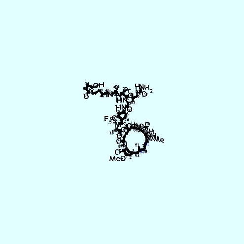 COc1cc2cc(c1Cl)N(C)C(=O)C[C@H](OC(=O)[C@H](C)N(C)C(=O)c1ccc(NC(=O)[C@H](CCCNC(N)=O)NC(=O)[C@@H](NC(=S)NCCCCN3C(=O)C=CC3O)C(C)C)cc1C(F)(F)F)[C@]1(C)O[C@H]1[C@H](C)[C@@H]1C[C@@](O)(NC(=O)O1)[C@H](OC)/C=C/C=C(\C)C2